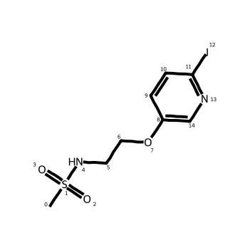 CS(=O)(=O)NCCOc1ccc(I)nc1